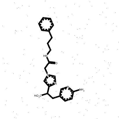 Nc1ccc(CC(C(=O)O)c2cn(CC(=O)NCCCc3ccccc3)cn2)cn1